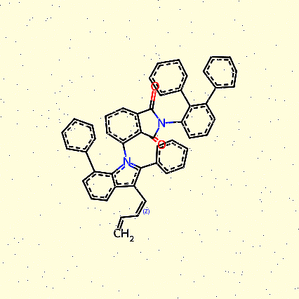 C=C/C=C\c1c(-c2ccccc2)n(-c2cccc3c2C(=O)N(c2cccc(-c4ccccc4)c2-c2ccccc2)C3=O)c2c(-c3ccccc3)cccc12